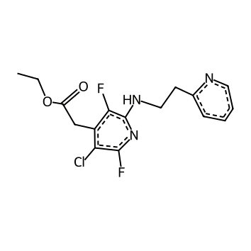 CCOC(=O)Cc1c(F)c(NCCc2ccccn2)nc(F)c1Cl